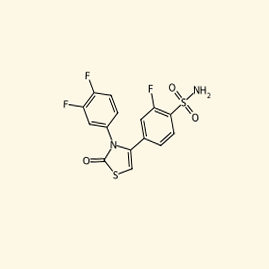 NS(=O)(=O)c1ccc(-c2csc(=O)n2-c2ccc(F)c(F)c2)cc1F